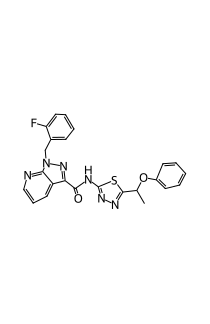 CC(Oc1ccccc1)c1nnc(NC(=O)c2nn(Cc3ccccc3F)c3ncccc23)s1